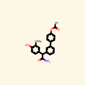 COc1cc(C(C(N)=O)c2cccc(-c3ccc(OC(=O)C(C)C)cc3)c2)ccc1O